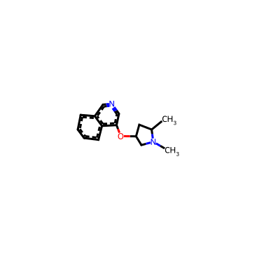 CC1CC(Oc2cncc3ccccc23)CN1C